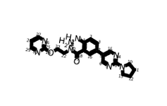 Nc1ccc(-c2cnc(N3CCCC3)nc2)cc1C(=O)N(N)CCOc1ncccn1